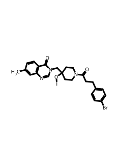 Cc1ccc2c(=O)n(CC3(OI)CCN(C(=O)CCc4ccc(Br)cc4)CC3)cnc2c1